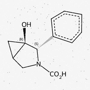 O=C(O)N1CC2C[C@]2(O)[C@@H]1c1ccccc1